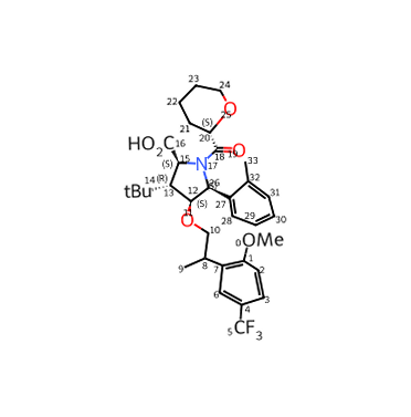 COc1ccc(C(F)(F)F)cc1C(C)CO[C@H]1[C@H](C(C)(C)C)[C@@H](C(=O)O)N(C(=O)[C@@H]2CCCCO2)[C@H]1c1ccccc1C